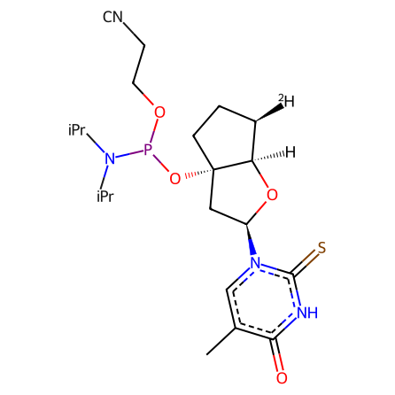 [2H][C@@H]1CC[C@]2(OP(OCC[N+]#[C-])N(C(C)C)C(C)C)C[C@H](n3cc(C)c(=O)[nH]c3=S)O[C@H]12